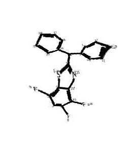 Fc1cc(F)c2sc(C(c3ccccc3)c3ccccc3)nc2c1F